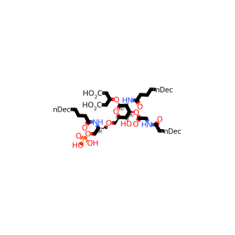 CCCCCCCCCCCCCC(=O)N[C@H](COC[C@H]1O[C@H](OC(CC(=O)O)CC(=O)O)[C@H](NC(=O)CCCCCCCCCCCCC)[C@@H](OC(=O)CNC(=O)CCCCCCCCCCC)[C@@H]1O)COP(=O)(O)O